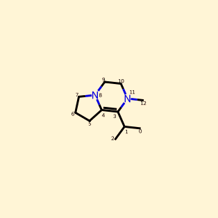 CC(C)C1=C2CCCN2CCN1C